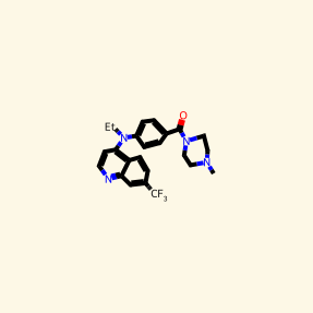 CCN(c1ccc(C(=O)N2CCN(C)CC2)cc1)c1ccnc2cc(C(F)(F)F)ccc12